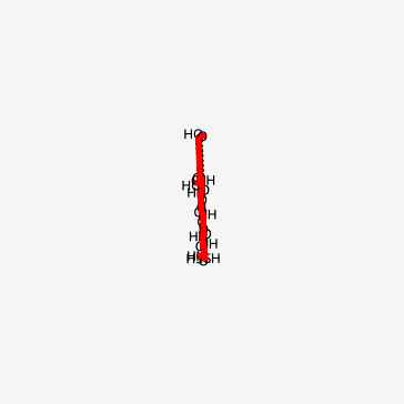 O=C(O)CCCCCCCCCCCCCCCCC(=O)N[C@@H](CCC(=O)NCCOCCOCC(=O)NCCOCCOCC(=O)NCCNC(=O)CSC[C@H](NS)C(=O)S)C(=O)O